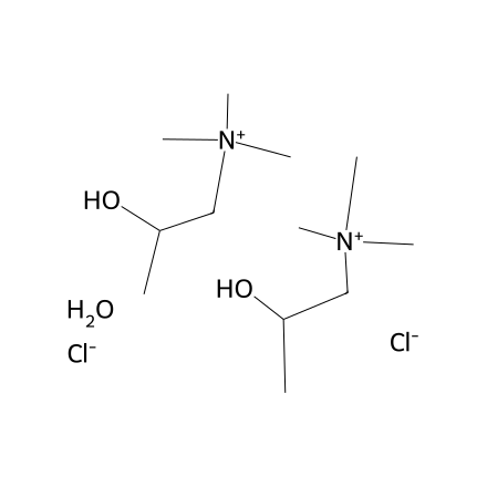 CC(O)C[N+](C)(C)C.CC(O)C[N+](C)(C)C.O.[Cl-].[Cl-]